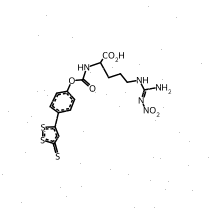 NC(=N[N+](=O)[O-])NCCCC(NC(=O)Oc1ccc(-c2cc(=S)ss2)cc1)C(=O)O